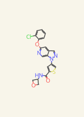 O=C(NC1COC1)c1cc(-n2ncc3cc(Oc4ccccc4Cl)ncc32)cs1